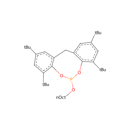 CCCCCCCCOP1Oc2c(cc(C(C)(C)C)cc2C(C)(C)C)Cc2cc(C(C)(C)C)cc(C(C)(C)C)c2O1